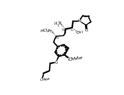 COCCCOc1cc(C[C@@H](C[C@H](N)[C@@H](O)CN2CCCC2=O)C(C)C)ccc1OC.Cl